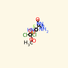 CC(=O)OCc1cc(Cl)cc(S(=O)(=O)Nc2cccc(-c3cn(C4COC4)c4ncnc(N)c34)c2F)c1Cl